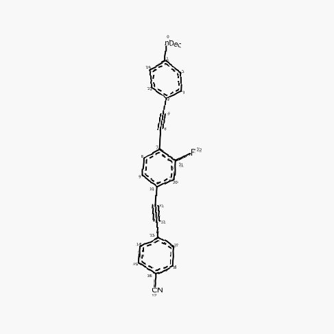 CCCCCCCCCCc1ccc(C#Cc2ccc(C#Cc3ccc(C#N)cc3)cc2F)cc1